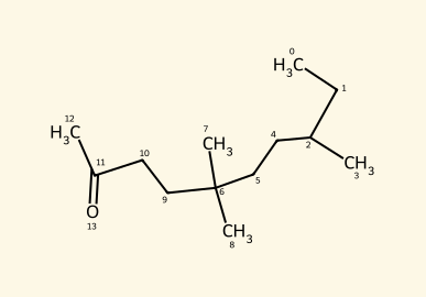 CCC(C)CCC(C)(C)CCC(C)=O